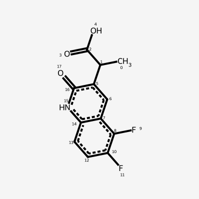 CC(C(=O)O)c1cc2c(F)c(F)ccc2[nH]c1=O